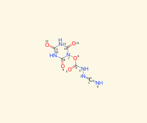 N=C=NNC(=O)On1c(=O)[nH]c(=O)[nH]c1=O